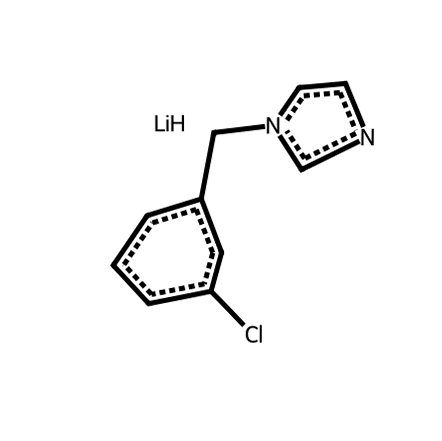 Clc1cccc(Cn2ccnc2)c1.[LiH]